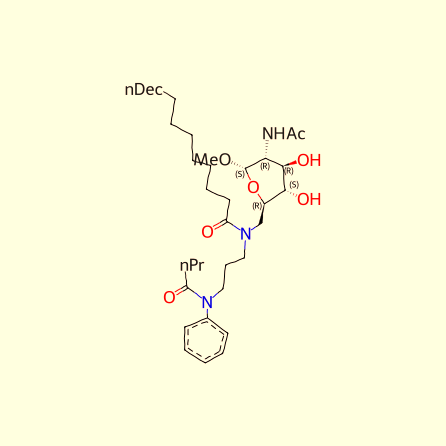 CCCCCCCCCCCCCCCCCC(=O)N(CCCN(C(=O)CCC)c1ccccc1)C[C@H]1O[C@H](OC)[C@H](NC(C)=O)[C@@H](O)[C@@H]1O